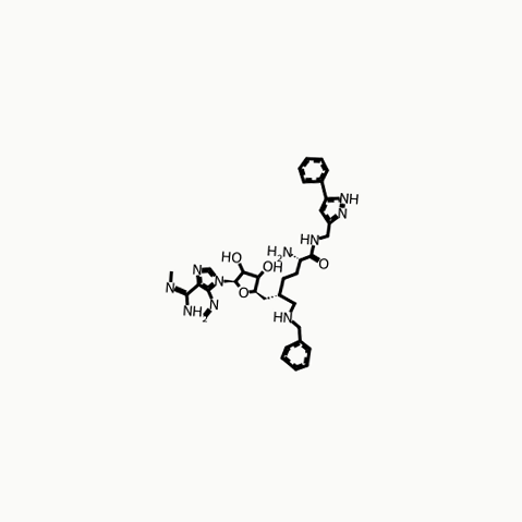 C=Nc1c(/C(N)=N\C)ncn1[C@@H]1O[C@H](C[C@H](CC[C@H](N)C(=O)NCc2cc(-c3ccccc3)[nH]n2)CNCc2ccccc2)C(O)C1O